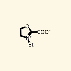 CC[N+]1=C(C(=O)[O-])OCC1